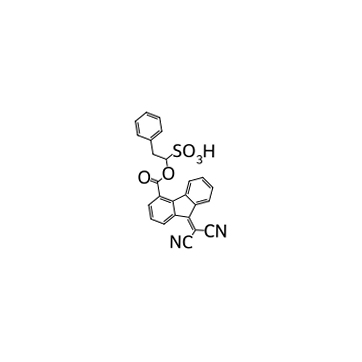 N#CC(C#N)=C1c2ccccc2-c2c(C(=O)OC(Cc3ccccc3)S(=O)(=O)O)cccc21